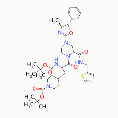 C[C@@H]1N=C(N2CCN(C(=O)C(CC3CCN(C(=O)OC(C)(C)C)CC3)NC(=O)OC(C)(C)C)C(C(=O)NCc3cccs3)C2)O[C@H]1c1ccccc1